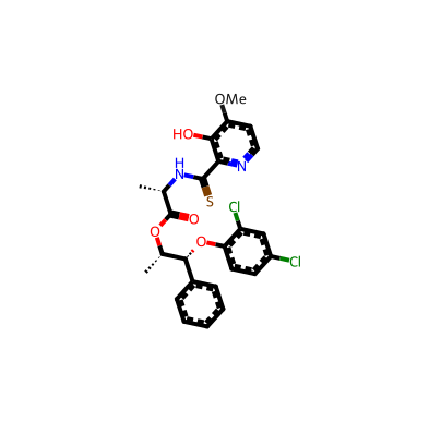 COc1ccnc(C(=S)N[C@@H](C)C(=O)O[C@@H](C)[C@H](Oc2ccc(Cl)cc2Cl)c2ccccc2)c1O